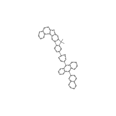 CC1(C)c2cc(-c3ccc(-c4c5ccccc5c(-c5ccc6ccccc6c5)c5ccccc45)cc3)ccc2-c2cc3c(cc21)sc1ccc2ccccc2c13